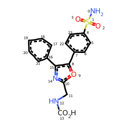 NS(=O)(=O)c1ccc(-c2oc(CNC(=O)O)nc2-c2ccccc2)cc1